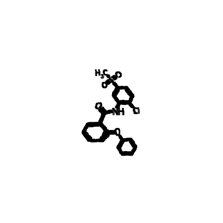 CS(=O)(=O)c1ccc(Cl)c(NC(=O)c2ccccc2Oc2ccccc2)c1